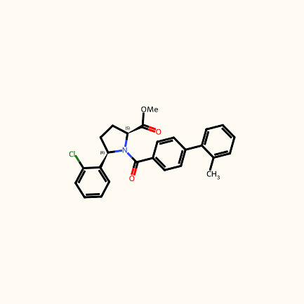 COC(=O)[C@@H]1CC[C@H](c2ccccc2Cl)N1C(=O)c1ccc(-c2ccccc2C)cc1